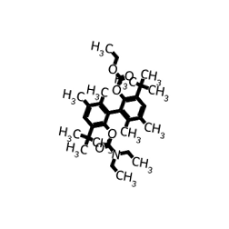 CCOC(=O)Oc1c(C(C)(C)C)cc(C)c(C)c1-c1c(C)c(C)cc(C(C)(C)C)c1OC(=O)N(CC)CC